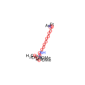 C=C(C)[C@H]1Cc2c(ccc3c2O[C@@H]2COc4cc(OC)c(OC)cc4[C@@H]2/C3=N/OCC(=O)NCCOCCOCCOCCOCCOCCOCCOCCOCCC(=O)ON(C(C)=O)C(=O)CC)O1